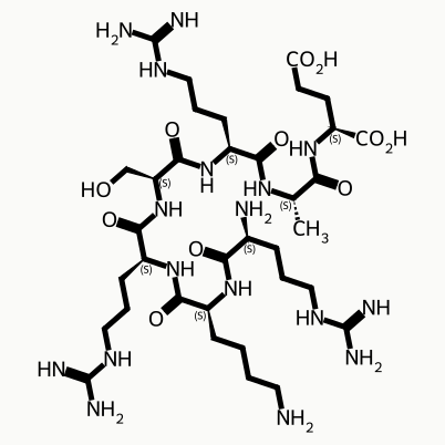 C[C@H](NC(=O)[C@H](CCCNC(=N)N)NC(=O)[C@H](CO)NC(=O)[C@H](CCCNC(=N)N)NC(=O)[C@H](CCCCN)NC(=O)[C@@H](N)CCCNC(=N)N)C(=O)N[C@@H](CCC(=O)O)C(=O)O